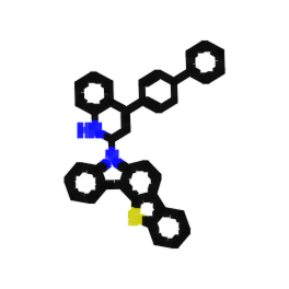 C1=CC(c2ccccc2)CC=C1C1=CC(n2c3ccccc3c3c4sc5ccccc5c4ccc32)Nc2ccccc21